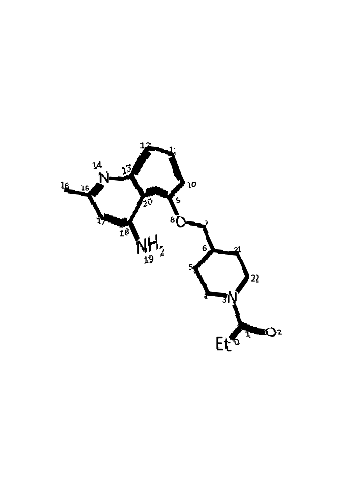 CCC(=O)N1CCC(COc2cccc3nc(C)cc(N)c23)CC1